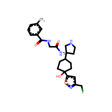 O=C(CNC(=O)c1cccc(C(F)(F)F)c1)N[C@@]1(C2CCC(O)(c3cc(CF)ns3)CC2)CCNC1